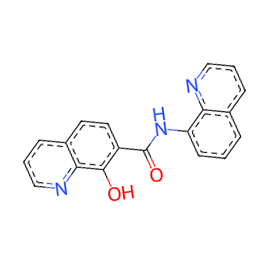 O=C(Nc1cccc2cccnc12)c1ccc2cccnc2c1O